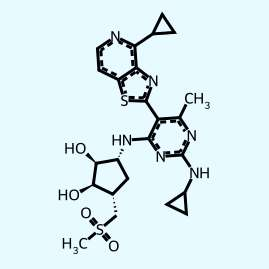 Cc1nc(NC2CC2)nc(N[C@@H]2C[C@H](CS(C)(=O)=O)[C@@H](O)[C@H]2O)c1-c1nc2c(C3CC3)nccc2s1